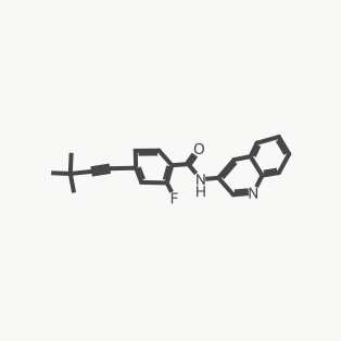 CC(C)(C)C#Cc1ccc(C(=O)Nc2cnc3ccccc3c2)c(F)c1